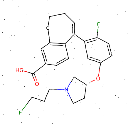 O=C(O)c1ccc2c(c1)CCCC=C2c1cc(O[C@@H]2CCN(CCCF)C2)ccc1F